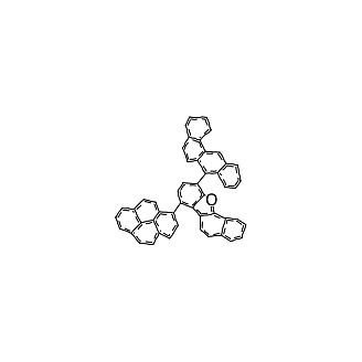 c1ccc2c(-c3ccc(-c4ccc5ccc6cccc7ccc4c5c67)c4c3oc3c5ccccc5ccc34)c3ccc4ccccc4c3cc2c1